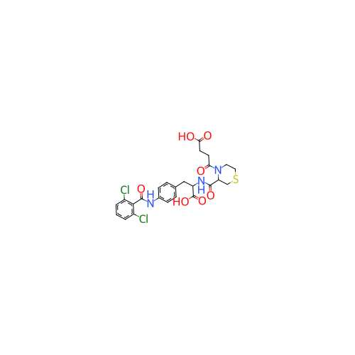 O=C(O)CCC(=O)N1CCSCC1C(=O)NC(Cc1ccc(NC(=O)c2c(Cl)cccc2Cl)cc1)C(=O)O